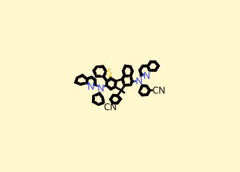 CC1(c2ccccc2)c2cc(N(c3cccc(C#N)c3)c3ccc4ccccc4n3)c3ccccc3c2-c2c1cc(N(c1cccc(C#N)c1)c1ccc3ccccc3n1)c1c2sc2ccccc21